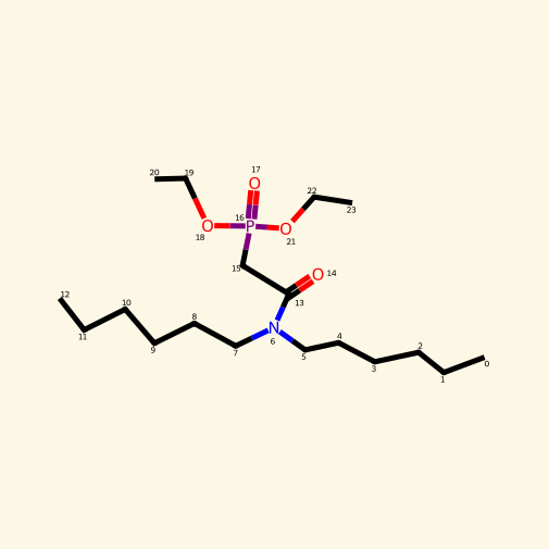 CCCCCCN(CCCCCC)C(=O)CP(=O)(OCC)OCC